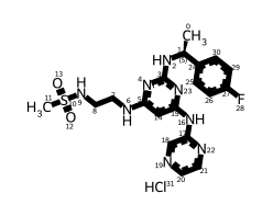 C[C@H](Nc1nc(NCCNS(C)(=O)=O)cc(Nc2cnccn2)n1)c1ccc(F)cc1.Cl